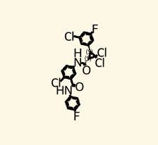 O=C(Nc1ccc(F)cc1)c1cc(NC(=O)[C@@H]2[C@@H](c3cc(F)cc(Cl)c3)C2(Cl)Cl)ccc1Cl